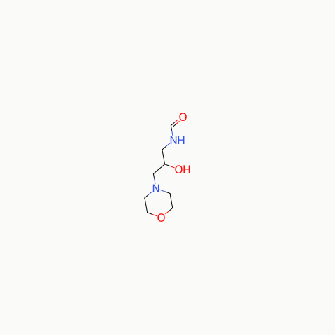 O=CNCC(O)CN1CCOCC1